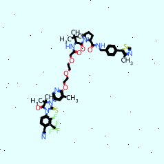 Cc1cc(N2C(=S)N(c3ccc(C#N)c(C(F)(F)F)c3F)C(=O)C2(C)C)cnc1OCCOCCOCC(=O)NC(C(=O)N1CCCC1C(=O)NCc1ccc(-c2scnc2C)cc1)C(C)(C)C